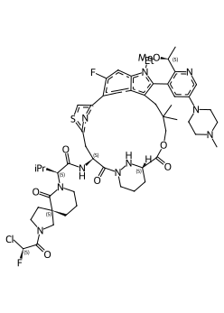 CCn1c(-c2cc(N3CCN(C)CC3)cnc2[C@H](C)OC)c2c3cc(c(F)cc31)-c1csc(n1)C[C@H](NC(=O)[C@H](C(C)C)N1CCC[C@@]3(CCN(C(=O)[C@@H](F)Cl)C3)C1=O)C(=O)N1CCC[C@H](N1)C(=O)OCC(C)(C)C2